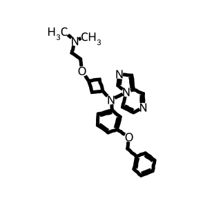 CN(C)CCOC1CC(N(c2cccc(OCc3ccccc3)c2)[N+]23C=CN=CC2=CN=C3)C1